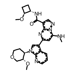 CNc1cc(-c2cn([C@@H]3CCOC[C@H]3OC)c3ncccc23)nc2c(C(=O)N[C@H]3CC[C@@H]3OC)cnn12